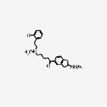 CC(=O)NC1Cc2ccc(C(=O)CCCCN(C)CCc3ccccc3Cl)cc2C1